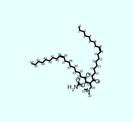 CCCCCCCC/C=C\CCCCCCCC(=O)C(CN(C)C)C(OC(N)=O)C(=O)CCCCCCC/C=C\CCCCCCCC